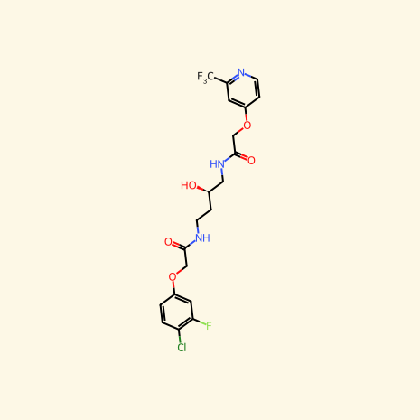 O=C(COc1ccc(Cl)c(F)c1)NCC[C@@H](O)CNC(=O)COc1ccnc(C(F)(F)F)c1